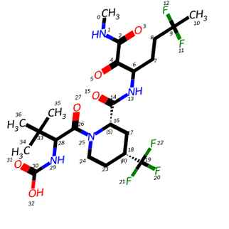 CNC(=O)C(=O)C(CCC(C)(F)F)NC(=O)[C@@H]1C[C@H](C(F)(F)F)CCN1C(=O)C(NC(=O)O)C(C)(C)C